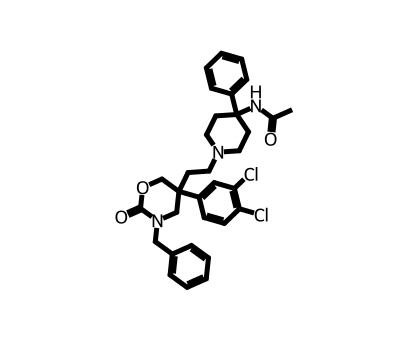 CC(=O)NC1(c2ccccc2)CCN(CCC2(c3ccc(Cl)c(Cl)c3)COC(=O)N(Cc3ccccc3)C2)CC1